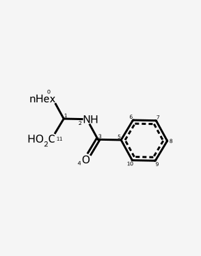 CCCCCCC(NC(=O)c1ccccc1)C(=O)O